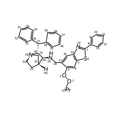 CC(C)OOc1cc2sc(-c3ccccc3)nc2cc1CN[C@H]1[C@@H]2CC[N@](C2)[C@@H]1C(c1ccccc1)c1ccccc1